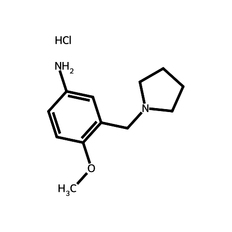 COc1ccc(N)cc1CN1CCCC1.Cl